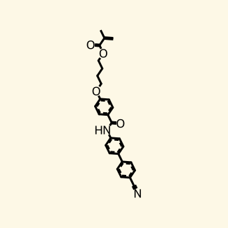 C=C(C)C(=O)OCCCCOc1ccc(C(=O)Nc2ccc(-c3ccc(C#N)cc3)cc2)cc1